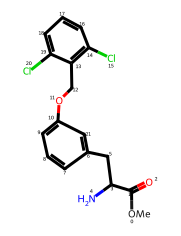 COC(=O)C(N)Cc1cccc(OCc2c(Cl)cccc2Cl)c1